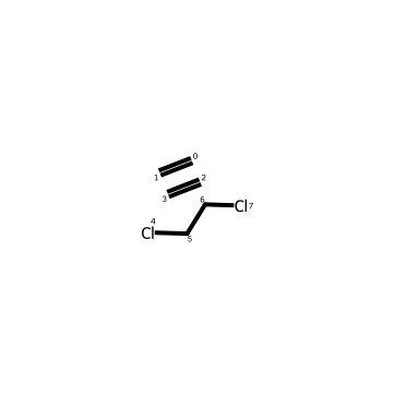 C=C.C=C.ClCCCl